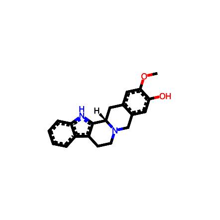 COc1cc2c(cc1O)CN1CCc3c([nH]c4ccccc34)[C@@H]1C2